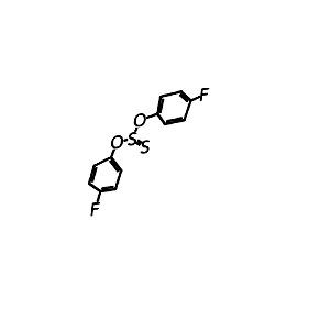 Fc1ccc(OS(=S)Oc2ccc(F)cc2)cc1